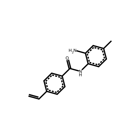 C=Cc1ccc(C(=O)Nc2ccc(C)cc2N)cc1